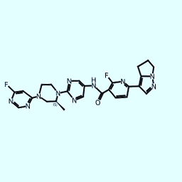 C[C@H]1CN(c2cc(F)ncn2)CCN1c1ncc(NC(=O)c2ccc(-c3cnn4c3CCC4)nc2F)cn1